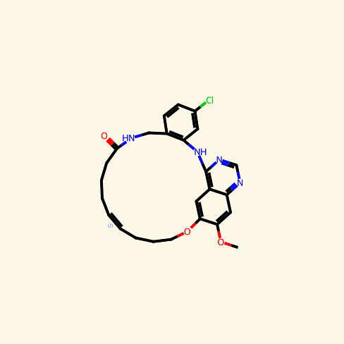 COc1cc2ncnc3c2cc1OCCC/C=C\CCCC(=O)NCc1ccc(Cl)cc1N3